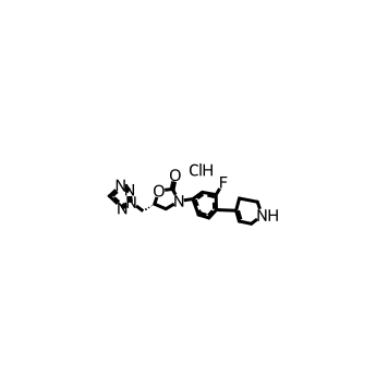 Cl.O=C1O[C@@H](Cn2ncnn2)CN1c1ccc(C2=CCNCC2)c(F)c1